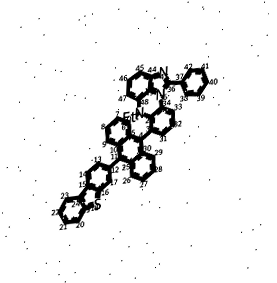 CCN1c2c(-c3c4ccccc4c(-c4ccc5c(c4)sc4ccccc45)c4ccccc34)cccc2-n2c(-c3ccccc3)nc3cccc1c32